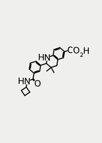 CC1(C)Cc2cc(C(=O)O)ccc2NC1c1cccc(C(=O)NC2CCC2)c1